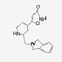 O=c1cc(C2CCNC(CN3Cc4ccccc4C3)C2)o[nH]1